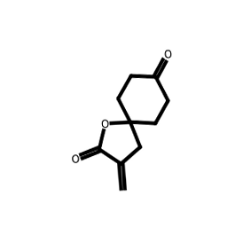 C=C1CC2(CCC(=O)CC2)OC1=O